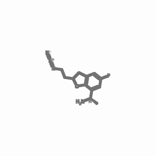 C[C@@H](N)c1cc(F)cc2c1OC(CCN=[N+]=[N-])C2